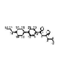 CCCC(=O)CC(=O)c1ccc(C2CCC(CCC)CC2)cc1